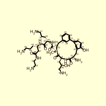 CN1C(=O)[C@H](C[C@@H](O)CN)NC(=O)[C@@H](N)Cc2cc(ccc2O)-c2cccc(c2)C[C@H]1C(=O)N[C@@H](CCCN)C(=O)N[C@@H](CCCN)CC(=O)NCCN